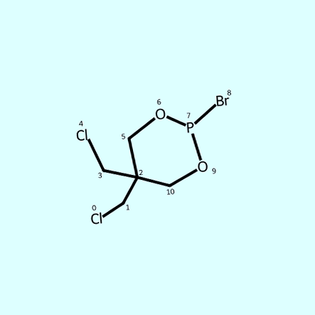 ClCC1(CCl)COP(Br)OC1